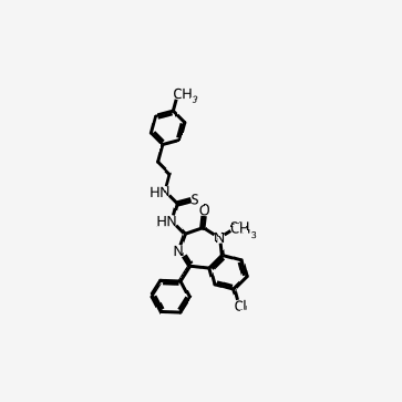 Cc1ccc(CCNC(=S)NC2N=C(c3ccccc3)c3cc(Cl)ccc3N(C)C2=O)cc1